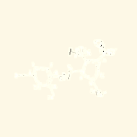 Cc1ccc(/N=C/c2cc(Br)cc([N+](=O)[O-])c2O)c(C)c1